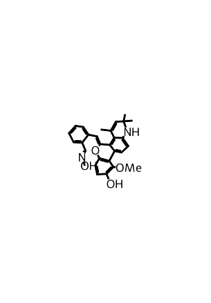 COc1c(O)ccc2c1-c1ccc3c(c1/C(=C/c1ccccc1C=NO)O2)C(C)=CC(C)(C)N3